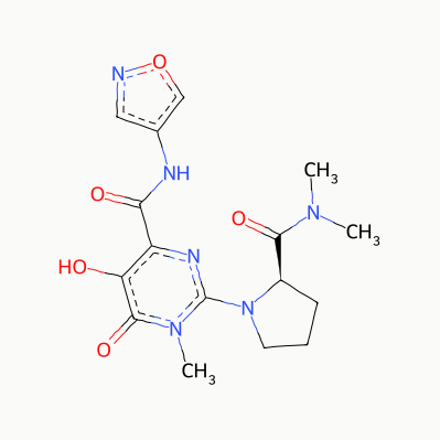 CN(C)C(=O)[C@H]1CCCN1c1nc(C(=O)Nc2cnoc2)c(O)c(=O)n1C